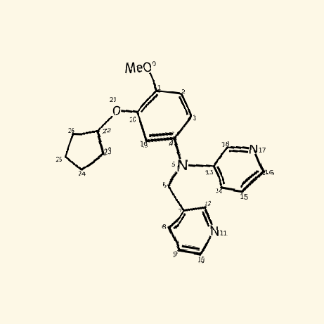 COc1ccc(N(Cc2cccnc2)c2cc[c]nc2)cc1OC1CCCC1